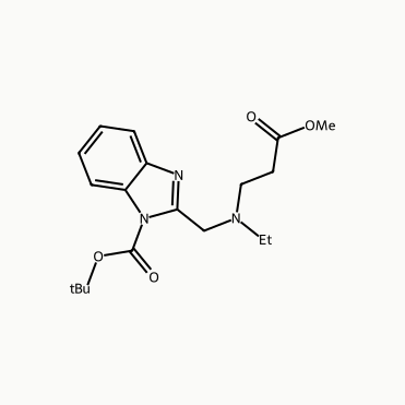 CCN(CCC(=O)OC)Cc1nc2ccccc2n1C(=O)OC(C)(C)C